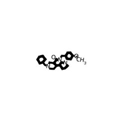 COc1ccc(Cn2c(=O)c3c(c4cccnc42)CCN(Cc2ccccc2)C3)cc1